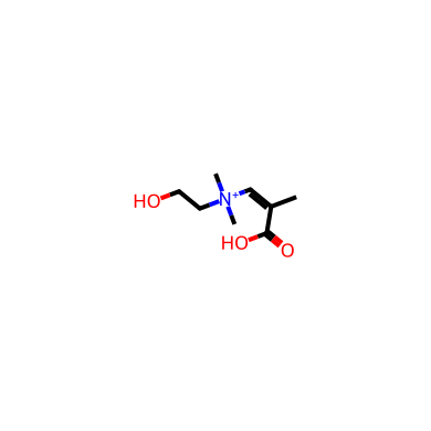 CC(=C[N+](C)(C)CCO)C(=O)O